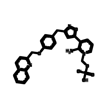 Nc1c(-c2cc(Cc3ccc(OCc4ccc5ccccc5n4)cc3)no2)ccc[n+]1COP(=O)([O-])O